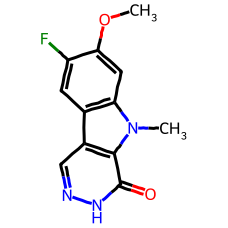 COc1cc2c(cc1F)c1cn[nH]c(=O)c1n2C